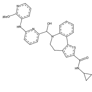 COc1ncccc1Nc1cccc(C(O)N2CCc3cc(C(=O)NC4CC4)sc3-c3ccccc32)n1